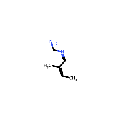 C/C=C(C)\C=N/CN